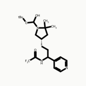 CC(C)(C)OC(O)N1C[C@@H](CCC(NC(=O)C(F)(F)F)c2ccncc2)CC1(C)C